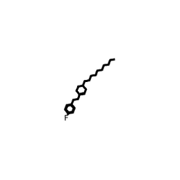 CCCCCCCCCCC1CC=C(CCc2ccc(F)cc2)CC1